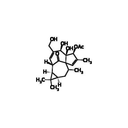 CC(=O)O[C@H]1C(C)=CC23C(=O)[C@@H](C=C(CO)[C@@H](O)[C@]12O)[C@H]1[C@@H](CC3C)C1(C)C